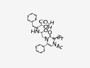 CC(=O)N1C=C(c2ccccc2)N(CC(=O)N[C@@H](Cc2ccccc2)C(O)C(=O)O)C(=O)[C@H]1C(C)C